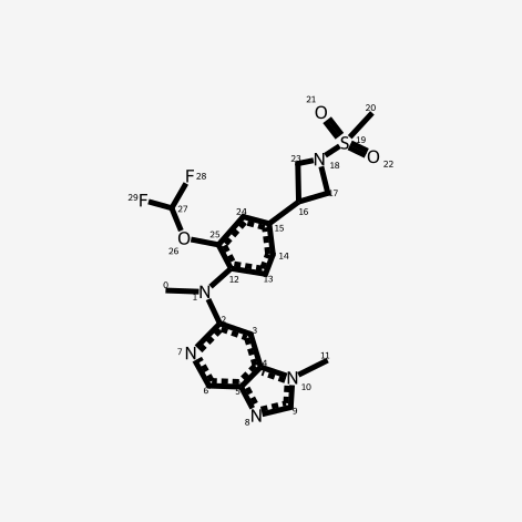 CN(c1cc2c(cn1)ncn2C)c1ccc(C2CN(S(C)(=O)=O)C2)cc1OC(F)F